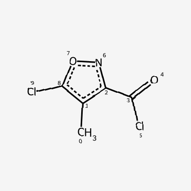 Cc1c(C(=O)Cl)noc1Cl